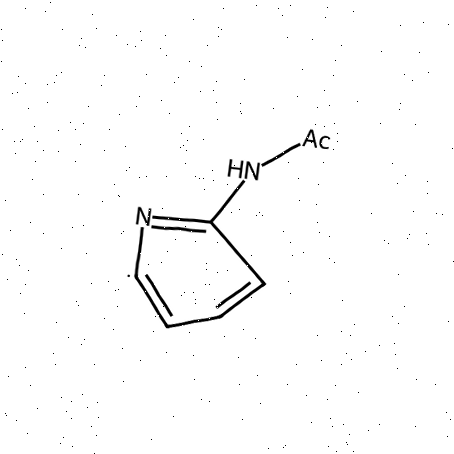 CC(=O)Nc1ccc[c]n1